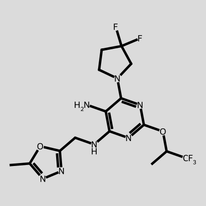 Cc1nnc(CNc2nc(OC(C)C(F)(F)F)nc(N3CCC(F)(F)C3)c2N)o1